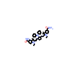 CCN1/C(=C/C=C2\CCC(/C=C/C3=[N+](CC)c4ccc(C(N)=O)cc4C3(C)C)=C2N(c2ccccc2)c2ccccc2)C(C)(C)c2cc(C(N)=O)ccc21